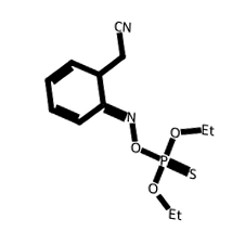 CCOP(=S)(OCC)ON=C1C=CC=CC1CC#N